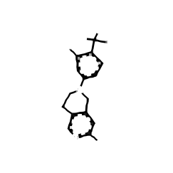 FC(F)(F)c1ccc(N2CCc3cnc(Cl)cc3C2)cc1Cl